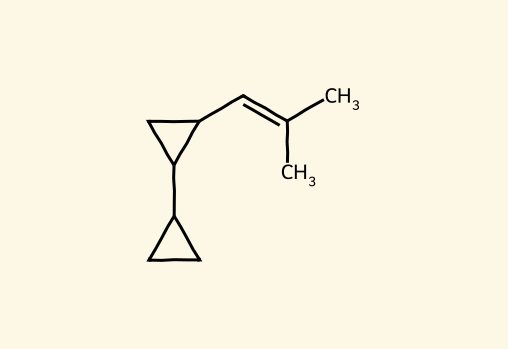 CC(C)=CC1CC1C1CC1